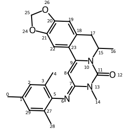 Cc1cc(C)c(N=c2cc3n(c(=O)n2C)C(C)Cc2cc4c(cc2-3)OCO4)c(C)c1